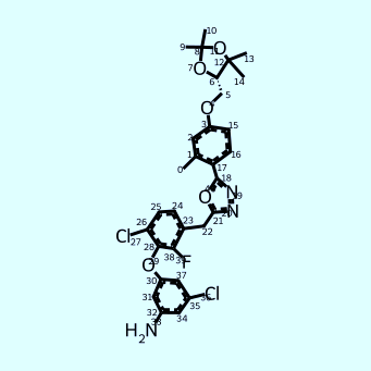 Cc1cc(OC[C@@H]2OC(C)(C)OC2(C)C)ccc1-c1nnc(Cc2ccc(Cl)c(Oc3cc(N)cc(Cl)c3)c2F)o1